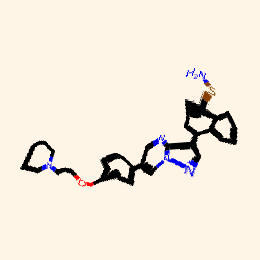 NSc1ccc(-c2cnn3cc(-c4ccc(OCCN5CCCCC5)cc4)cnc23)c2ccccc12